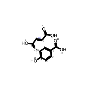 O=C(O)/C=C/C(=O)O.O=C(O)c1ccc(O)cc1